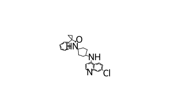 O=C(NC1CCC(Nc2ccnc3cc(Cl)ccc23)CC1)C1(c2ccccc2)CC1